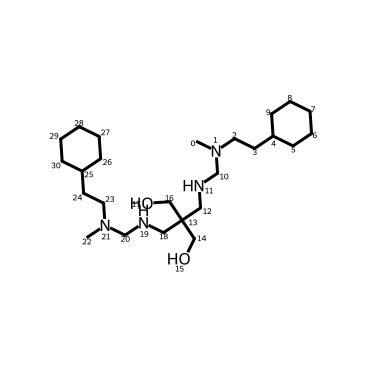 CN(CCC1CCCCC1)CNCC(CO)(CO)CNCN(C)CCC1CCCCC1